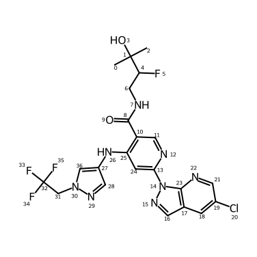 CC(C)(O)C(F)CNC(=O)c1cnc(-n2ncc3cc(Cl)cnc32)cc1Nc1cnn(CC(F)(F)F)c1